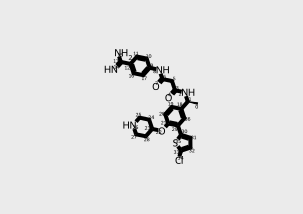 C[C@H](NC(=O)CC(=O)Nc1ccc(C(=N)N)cc1)c1ccc(OC2CCNCC2)c(-c2ccc(Cl)s2)c1